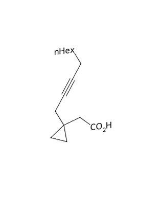 CCCCCCCC#CCC1(CC(=O)O)CC1